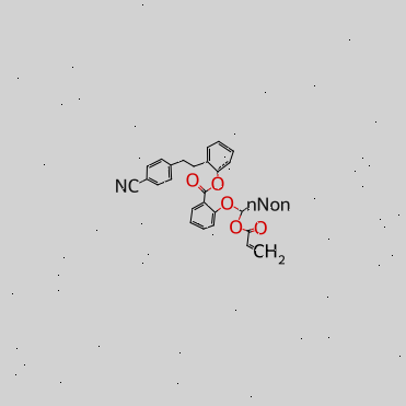 C=CC(=O)OC(CCCCCCCCC)Oc1ccccc1C(=O)Oc1ccccc1CCc1ccc(C#N)cc1